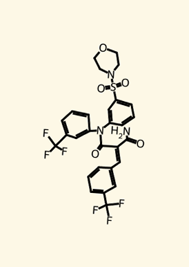 NC(=O)/C(=C/c1cccc(C(F)(F)F)c1)C(=O)N(c1cccc(C(F)(F)F)c1)c1cccc(S(=O)(=O)N2CCOCC2)c1